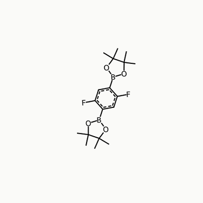 CC1(C)OB(c2cc(F)c(B3OC(C)(C)C(C)(C)O3)cc2F)OC1(C)C